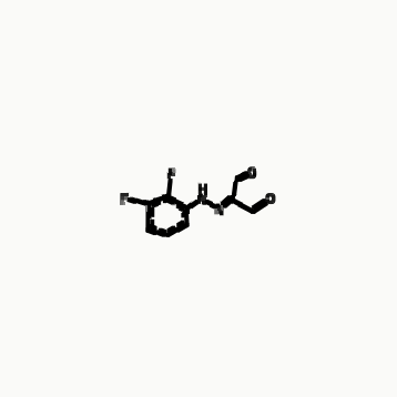 O=CC(C=O)=NNc1cccc(F)c1F